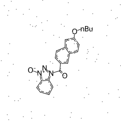 CCCCOc1ccc2cc(C(=O)n3n[n+]([O-])c4ccccc43)ccc2c1